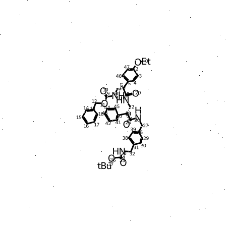 CCOc1ccc([C@@H](CNC(=O)OCc2ccccc2)C(=O)NC[C@H](C(=O)NCc2ccc(CNC(=O)OC(C)(C)C)cc2)c2ccccc2)cc1